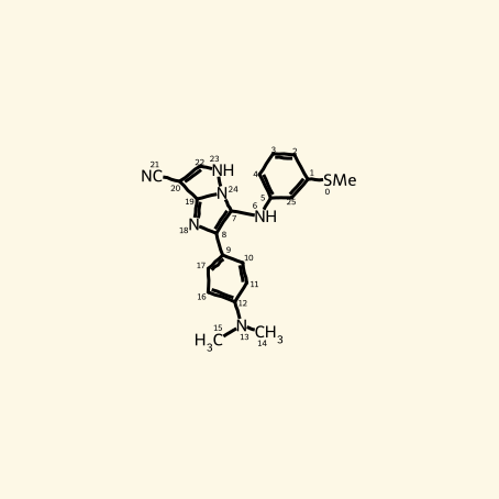 CSc1cccc(Nc2c(-c3ccc(N(C)C)cc3)nc3c(C#N)c[nH]n23)c1